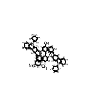 N#Cc1ccc(-c2cc(-c3ccc(C#N)cc3C(F)(F)F)ccc2-n2c3ccccc3c3cc4c5ccccc5n(-c5ccccc5)c4cc32)c(-n2c3ccccc3c3cc4c5ccccc5n(-c5ccccc5)c4cc32)c1